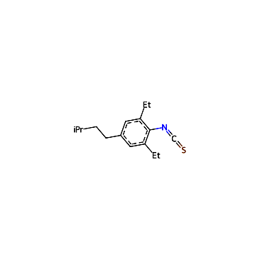 CCc1cc(CCC(C)C)cc(CC)c1N=C=S